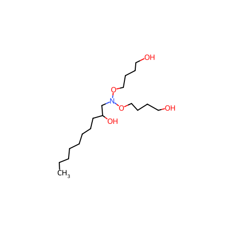 CCCCCCCCC(O)CN(OCCCCO)OCCCCO